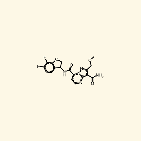 COCc1nn2c(C(=O)N[C@@H]3COc4c3ccc(F)c4F)ccnc2c1C(N)=O